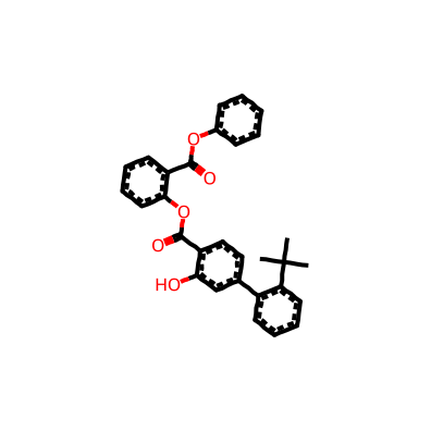 CC(C)(C)c1ccccc1-c1ccc(C(=O)Oc2ccccc2C(=O)Oc2ccccc2)c(O)c1